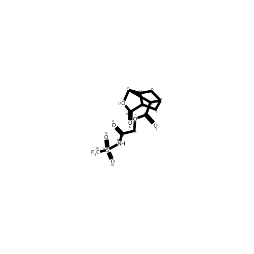 O=C(COC(=O)C1C2CC3C(=O)OC1C3C2)NS(=O)(=O)C(F)(F)F